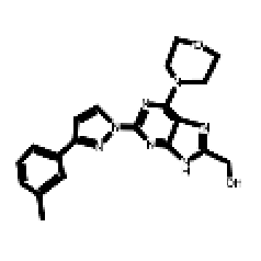 Cc1cccc(-c2ccn(-c3nc(N4CCOCC4)c4nc(CO)[nH]c4n3)n2)c1